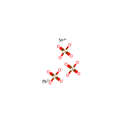 O=S(=O)([O-])[O-].O=S(=O)([O-])[O-].O=S(=O)([O-])[O-].[Pb+2].[Sn+4]